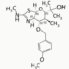 CNC1=N[C@@H]2[C@@H](OCc3ccc(OC)cc3)[C@H](C)[C@@H](C(C)(C)O)O[C@@H]2S1